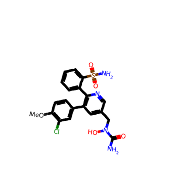 COc1ccc(-c2cc(CN(O)C(N)=O)cnc2-c2ccccc2S(N)(=O)=O)cc1Cl